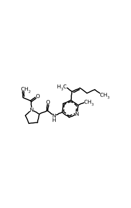 C=CC(=O)N1CCCC1C(=O)Nc1cnc(C)c(/C(C)=C\CCC)c1